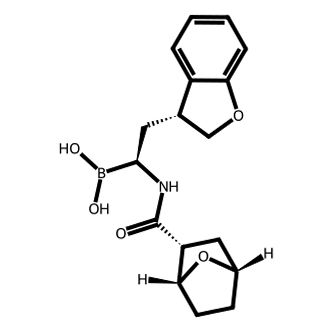 O=C(N[C@H](C[C@H]1COc2ccccc21)B(O)O)[C@@H]1C[C@@H]2CC[C@H]1O2